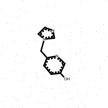 Oc1ccc(Cn2ccnc2)nc1